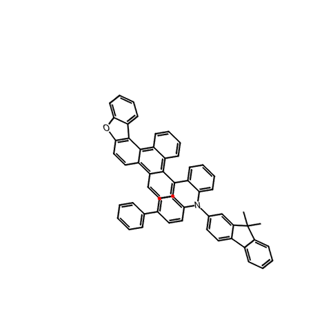 CC1(C)c2ccccc2-c2ccc(N(c3ccc(-c4ccccc4)cc3)c3ccccc3-c3cccc4c5ccc6oc7ccccc7c6c5c5ccccc5c34)cc21